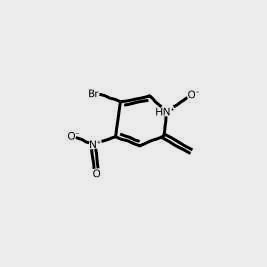 C=C1C=C([N+](=O)[O-])C(Br)=C[NH+]1[O-]